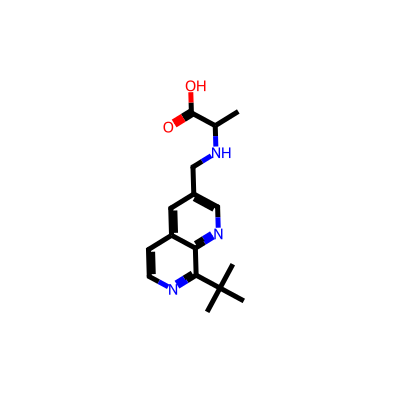 CC(NCc1cnc2c(C(C)(C)C)nccc2c1)C(=O)O